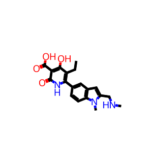 CCc1c(-c2ccc3c(c2)cc(CNC)n3C)[nH]c(=O)c(C(=O)O)c1O